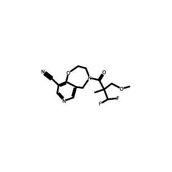 COCC(C)(C(=O)N1CCOc2c(C#N)cncc2C1)C(F)F